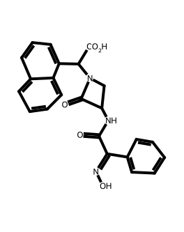 O=C(NC1CN(C(C(=O)O)c2cccc3ccccc23)C1=O)/C(=N/O)c1ccccc1